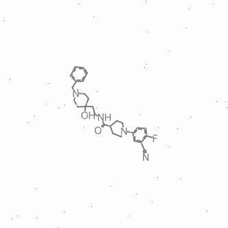 N#Cc1cc(N2CCC(C(=O)NCCC3(O)CCN(Cc4ccccc4)CC3)CC2)ccc1F